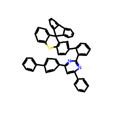 c1ccc(-c2ccc(-c3cc(-c4ccccc4)nc(-c4ccccc4-c4ccc5c(c4)C4(c6ccccc6S5)c5ccccc5-c5ccccc54)n3)cc2)cc1